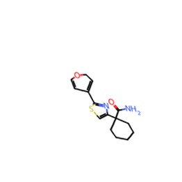 NC(=O)C1(c2csc(C3=CCOC=C3)n2)CCCCC1